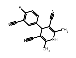 CC1=C(C#N)C(c2ccc(F)c(C#N)c2)C(C#N)=C(C)N1